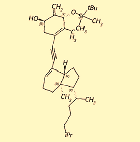 C=C1[C@H](O[Si](C)(C)C(C)(C)C)C(C)=C(C#CC2=CCC[C@]3(C)[C@@H](C(C)CCCC(C)C)CC[C@@H]23)C[C@H]1O